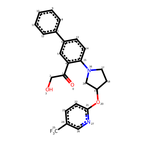 O=C(CO)c1cc(-c2ccccc2)ccc1N1CCC(Oc2ccc(C(F)(F)F)cn2)C1